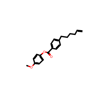 C=CCCCCc1ccc(C(=O)Oc2ccc(OC)cc2)cc1